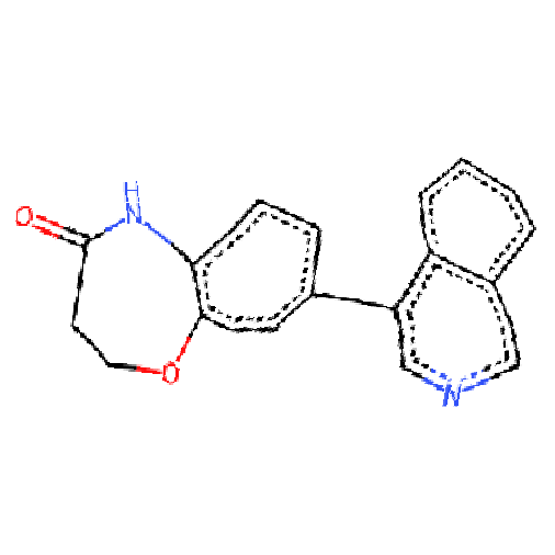 O=C1CCOc2cc(-c3cncc4ccccc34)ccc2N1